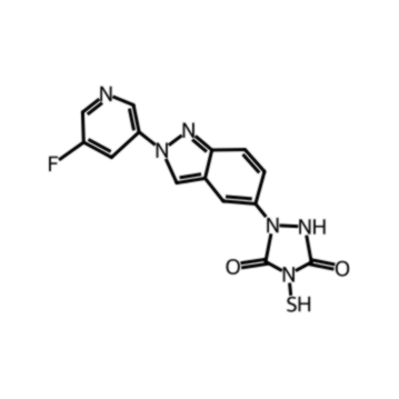 O=c1[nH]n(-c2ccc3nn(-c4cncc(F)c4)cc3c2)c(=O)n1S